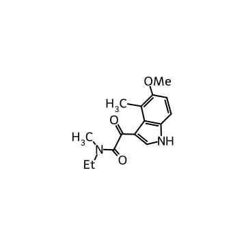 CCN(C)C(=O)C(=O)c1c[nH]c2ccc(OC)c(C)c12